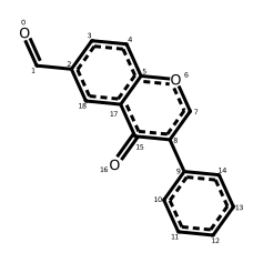 O=Cc1ccc2occ(-c3ccccc3)c(=O)c2c1